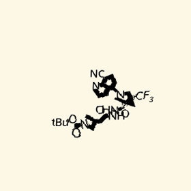 CC(C)(C)OC(=O)N1CC(CC(=O)NNC(=O)[C@]23CN(c4ccc(C#N)c5ncccc45)C[C@@]2(C(F)(F)F)C3)C1